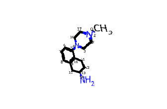 CN1CCN(c2cccc3c2CC[C@@H](N)C3)CC1